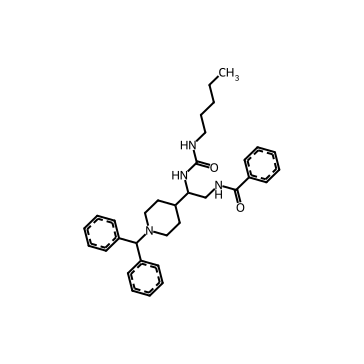 CCCCCNC(=O)NC(CNC(=O)c1ccccc1)C1CCN(C(c2ccccc2)c2ccccc2)CC1